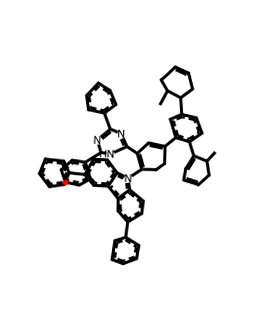 CC1CC=CC=C1c1ccc(C2CC=CCC2C)cc1C1=CC(C2=NC(c3ccccc3)=NC(c3ccccc3)N2)=C(n2c3ccc(-c4ccccc4)cc3c3cc(-c4ccccc4)ccc32)CC1